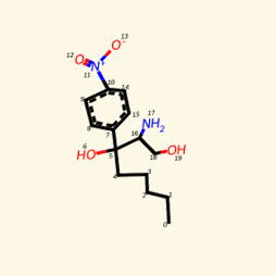 CCCCCC(O)(c1ccc([N+](=O)[O-])cc1)C(N)CO